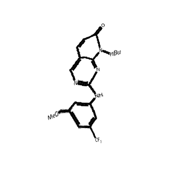 CCCCn1c(=O)ccc2cnc(Nc3cc(OC)cc(C(F)(F)F)c3)nc21